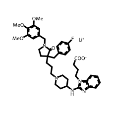 COc1cc(CN2CCC(CCCN3CCC(Nc4nc5ccccc5n4CCCC(=O)[O-])CC3)(Cc3ccc(F)cc3)C2=O)cc(OC)c1OC.[Li+]